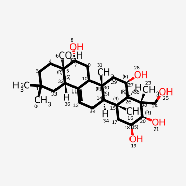 CC1(C)CC[C@]2(C(=O)O)[C@H](O)CC3C(=CC[C@@H]4[C@@]5(C)C[C@H](O)[C@H](O)[C@@](C)(CO)[C@@H]5[C@H](O)C[C@@]34C)[C@@H]2C1